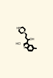 Cc1ccc2scc(C(O)CCN3CCNCC3)c2c1.Cl